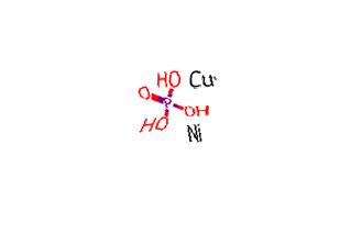 O=P(O)(O)O.[Cu].[Ni]